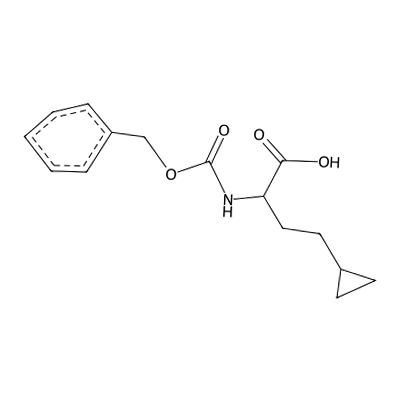 O=C(NC(CCC1CC1)C(=O)O)OCc1ccccc1